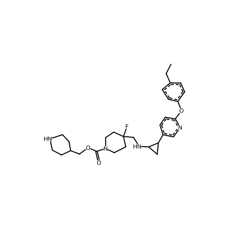 CCc1ccc(Oc2ccc(C3CC3NCC3(F)CCN(C(=O)OCC4CCNCC4)CC3)cn2)cc1